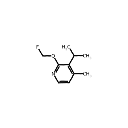 Cc1ccnc(OCF)c1C(C)C